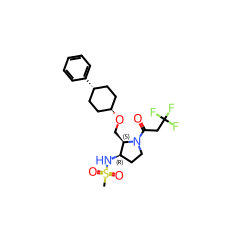 CS(=O)(=O)N[C@@H]1CCN(C(=O)CC(F)(F)F)[C@@H]1CO[C@H]1CC[C@@H](c2ccccc2)CC1